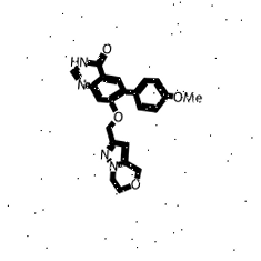 COc1ccc(-c2cc3c(=O)[nH]cnc3cc2OCc2cc3n(n2)CCOC3)cc1